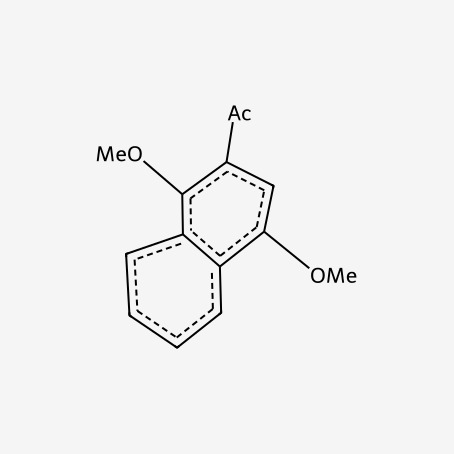 COc1cc(C(C)=O)c(OC)c2ccccc12